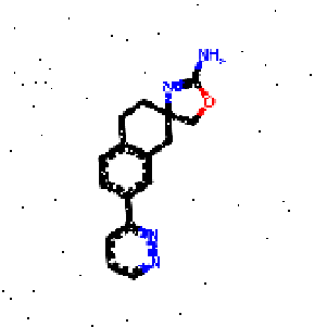 NC1=NC2(CCc3ccc(-c4cccnn4)cc3C2)CO1